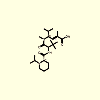 C/C(=C\[C@H](C(C)C)N(C)C(=O)C(NC(=O)[C@H]1CCCCN1C(C)C)C(C)(C)C)C(=O)O